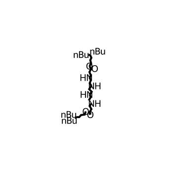 CCCCC(CCCC)CCCOC(=O)CCNCCNCCNCCNCCC(=O)OCCCC(CCCC)CCCC